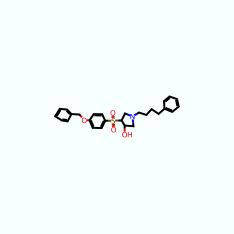 O=S(=O)(c1ccc(OCc2ccccc2)cc1)C1CN(CCCCc2ccccc2)CC1O